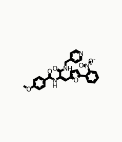 COc1ccc(C(=O)NC(=Cc2ccc(-c3ccccc3[N+](=O)[O-])o2)C(=O)NCc2ccncc2)cc1